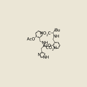 CC(=O)Oc1ccccc1CNC(Cc1c[nH]cn1)C(=O)O.CCC(C)C(NCc1ccccc1OC(C)=O)C(=O)O